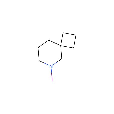 IN1CCCC2(CCC2)C1